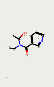 CCN(C(=O)c1cccnc1)C(C)O